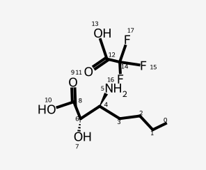 CCCC[C@H](N)[C@H](O)C(=O)O.O=C(O)C(F)(F)F